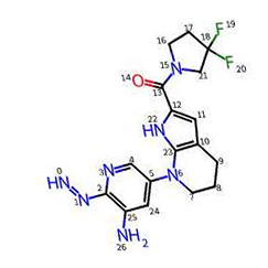 N=Nc1ncc(N2CCCc3cc(C(=O)N4CCC(F)(F)C4)[nH]c32)cc1N